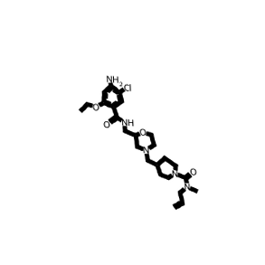 C=CCN(C)C(=O)N1CCC(CN2CCOC(CNC(=O)c3cc(Cl)c(N)cc3OCC)C2)CC1